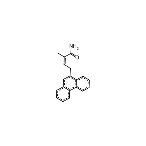 CC(=CCc1cc2ccccc2c2ccccc12)C(N)=O